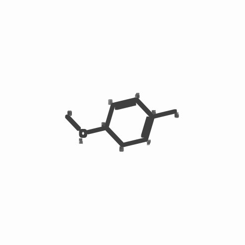 COC1C=CC(C)=CC1